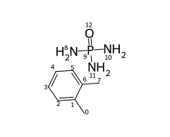 Cc1ccccc1C.NP(N)(N)=O